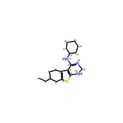 CCC1CCc2c(sc3c2C(NC2CCCCC2)=NCN3)C1